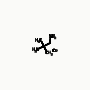 CC(C)(N)CN.[Cu]